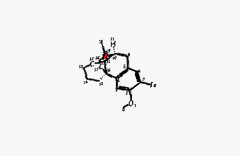 COc1cc2c(cc1I)C[C@H]1[C@H]3CCCC[C@@]23CCN1C